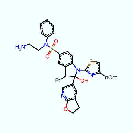 CCCCCCCCc1csc(N2c3ccc(S(=O)(=O)N(CCN)c4ccccc4)cc3C(CC)C2(O)c2cnc3c(c2)CCO3)n1